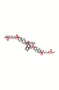 C=CC(=O)OCCCCOC(=O)C1CCC(C2CCC(C(=O)Oc3cc(OC)c(OC(=O)C4CCC(C5CCC(C(=O)OCCCCOC(=O)C=C)CC5)CC4)c4ccccc34)CC2)CC1